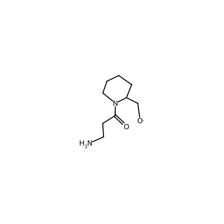 NCCC(=O)N1CCCCC1C[O]